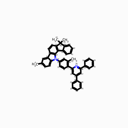 Cc1ccc2c(c1)c1ccc3c(c1n2-c1ccc(-c2cc(-c4ccccc4)cc(-c4ccccc4)n2)c(C)c1)-c1ccccc1C3(C)C